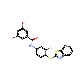 O=C(Nc1ccc(Sc2nc3ccccc3s2)c(Cl)c1)c1cc(Br)cc(Br)c1